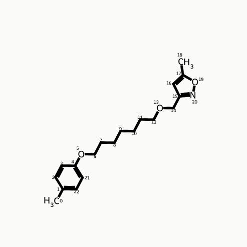 Cc1ccc(OCCCCCCCOCc2cc(C)on2)cc1